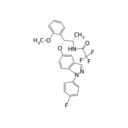 COc1ccccc1[C@@H](Oc1ccc2c(cnn2-c2ccc(F)cc2)c1)[C@H](C)NC(=O)C(F)(F)F